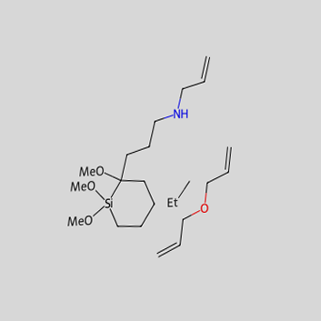 C=CCNCCCC1(OC)CCCC[Si]1(OC)OC.C=CCOCC=C.CCC